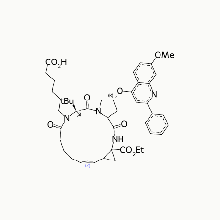 CCOC(=O)C12CC1/C=C\CCCC(=O)N(CCCCCC(=O)O)[C@@H](C(C)(C)C)C(=O)N1C[C@H](Oc3cc(-c4ccccc4)nc4cc(OC)ccc34)CC1C(=O)N2